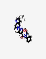 Cc1cc2c(nc1N1CCc3ncc(C(F)(F)F)cc3C1)OCCN(Cc1ccccc1)C2=O